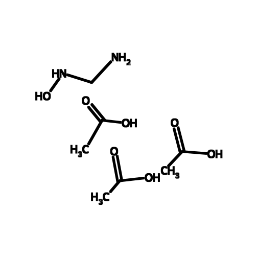 CC(=O)O.CC(=O)O.CC(=O)O.NCNO